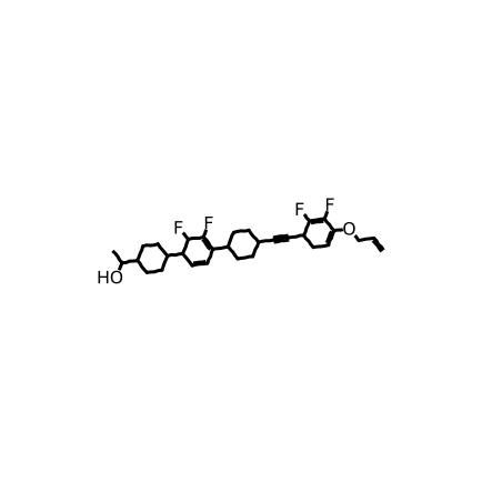 C=CCOC1=CCC(C#CC2CCC(C3=C(F)C(F)C(C4CCC(C(C)O)CC4)C=C3)CC2)C(F)=C1F